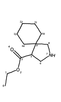 CCOC(=O)C1CNCC12CCCCC2